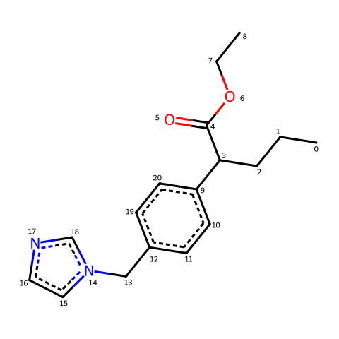 CCCC(C(=O)OCC)c1ccc(Cn2ccnc2)cc1